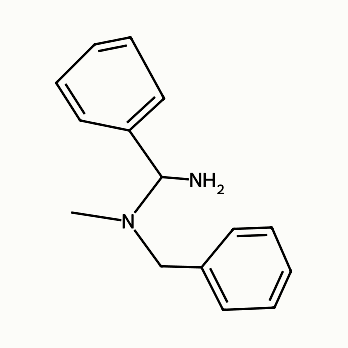 CN(Cc1ccccc1)C(N)c1ccccc1